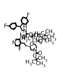 CC(C)(C)OC(=O)N[C@H](CNc1cncc(F)c1CC[C@@H]1CN(C(=O)OC(C)(C)C)C[C@@H](CO[Si](C)(C)C(C)(C)C)O1)C(c1ccc(F)cc1)c1ccc(F)cc1